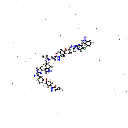 C=CC(=O)Nc1ccc(O[C@@H]2CCC[C@@H](Nc3ncc(Cl)c(-c4c[nH]c5ccc(CN(C)C/C=C/C(=O)Nc6ccc(O[C@H]7CCC[C@@H](Nc8ncc(Cl)c(-c9c[nH]c%10ccccc9%10)n8)C7)cc6)cc45)n3)C2)cc1